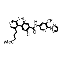 COCCCc1cncc(N)c1-c1cc(Cl)c(C(=O)Nc2cnc(-n3nccn3)c(C(F)(F)F)c2)cc1F